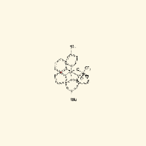 CC(C)(C)c1ccc(S(OS(=O)(=O)C(F)(F)F)(c2ccccc2)(c2ccccc2)(c2ccccc2)c2ccc(C(C)(C)C)cc2)cc1